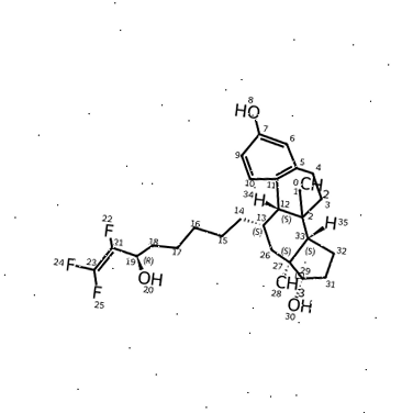 C=CC12CCc3cc(O)ccc3[C@H]1[C@@H](CCCCC[C@@H](O)C(F)=C(F)F)C[C@]1(C)[C@@H](O)CC[C@@H]21